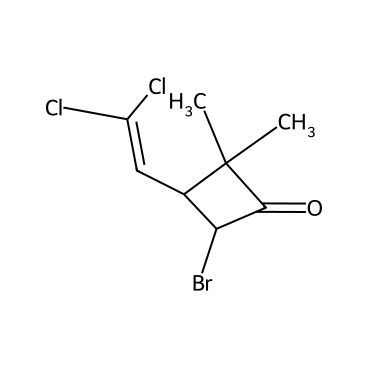 CC1(C)C(=O)C(Br)C1C=C(Cl)Cl